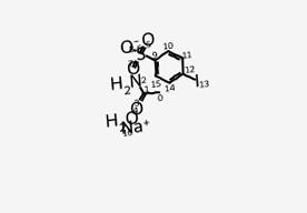 CC(N)=O.O.O=S(=O)([O-])c1ccc(I)cc1.[Na+]